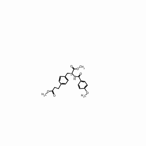 COC(=O)CCc1ccc(C[C@H](NC(=O)c2ccc(OC)cc2)C(=O)OC)cc1